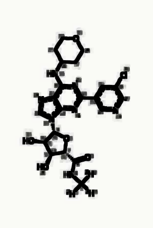 [2H]C([2H])([2H])NC(=O)[C@H]1O[C@@H](n2cnc3c(NC4CCOCC4)nc(-c4cncc(Cl)c4)nc32)[C@H](O)[C@@H]1O